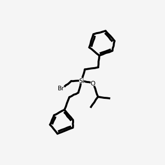 CC(C)O[Si](CBr)(CCc1ccccc1)CCc1ccccc1